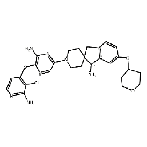 Nc1nc(N2CCC3(CC2)Cc2ccc(OC4CCOCC4)cc2[C@H]3N)cnc1Sc1ccnc(N)c1Cl